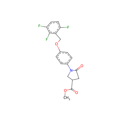 COC(=O)C1CC(=O)N(c2ccc(OCc3c(F)ccc(F)c3F)cc2)C1